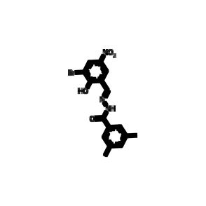 Cc1cc(C)cc(C(=O)N/N=C/c2cc([N+](=O)[O-])cc(Br)c2O)c1